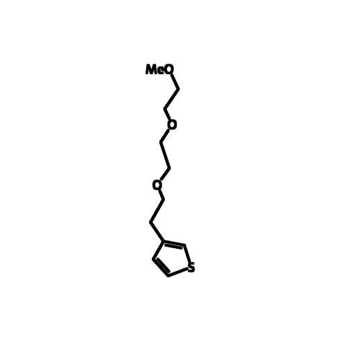 COCCOCCOCCc1ccsc1